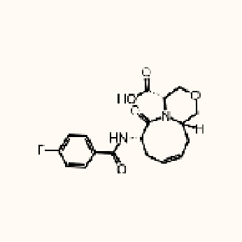 O=C(N[C@H]1C/C=C\C[C@H]2COC[C@@H](C(=O)O)N2C1=O)c1ccc(F)cc1